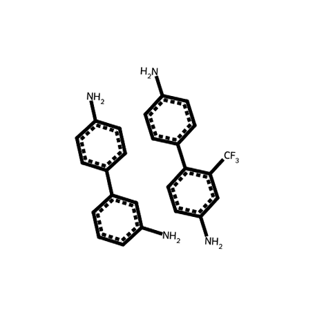 Nc1ccc(-c2ccc(N)cc2C(F)(F)F)cc1.Nc1ccc(-c2cccc(N)c2)cc1